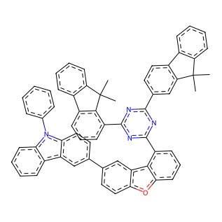 CC1(C)c2ccccc2-c2ccc(-c3nc(-c4cccc5c4C(C)(C)c4ccccc4-5)nc(-c4cccc5oc6ccc(-c7ccc8c(c7)c7ccccc7n8-c7ccccc7)cc6c45)n3)cc21